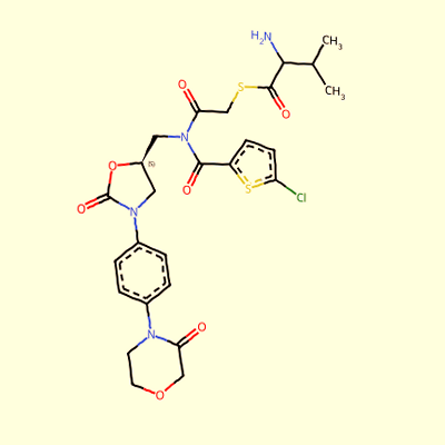 CC(C)C(N)C(=O)SCC(=O)N(C[C@H]1CN(c2ccc(N3CCOCC3=O)cc2)C(=O)O1)C(=O)c1ccc(Cl)s1